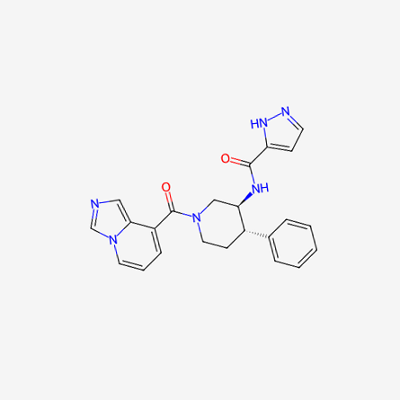 O=C(N[C@@H]1CN(C(=O)c2cccn3cncc23)CC[C@H]1c1ccccc1)c1ccn[nH]1